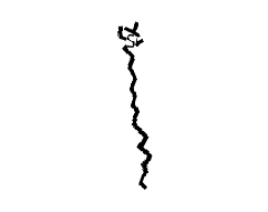 CCCCCCCCCCCCCCCC[Si](CC)(CC)C(C)(C)C